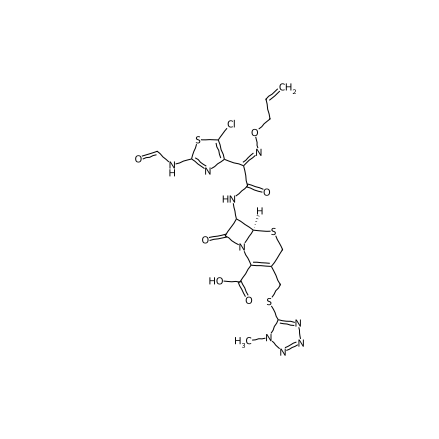 C=CCO/N=C(/C(=O)NC1C(=O)N2C(C(=O)O)=C(CSc3nnnn3C)CS[C@H]12)c1nc(NC=O)sc1Cl